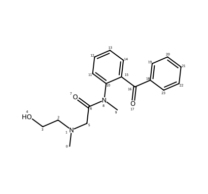 CN(CCO)CC(=O)N(C)c1ccccc1C(=O)c1ccccc1